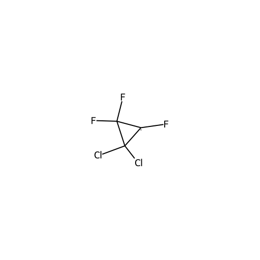 F[C]1C(F)(F)C1(Cl)Cl